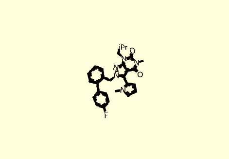 CC(C)Cn1c(=O)n(C)c(=O)c2c(-c3cccn3C)n(Cc3ccccc3-c3ccc(F)cc3)nc21